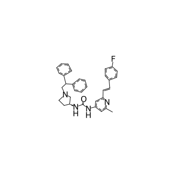 Cc1cc(NC(=O)N[C@H]2CCN(CC(c3ccccc3)c3ccccc3)C2)cc(/C=C/c2ccc(F)cc2)n1